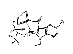 CCn1c2ccc(Cl)cc2c(C(=O)c2ccccc2C(=O)OC(C(F)(F)F)C(F)(F)F)[n+]1[O-]